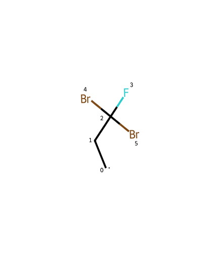 [CH2]CC(F)(Br)Br